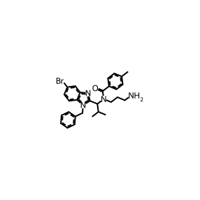 Cc1ccc(C(=O)N(CCCN)C(c2nc3cc(Br)ccc3n2Cc2ccccc2)C(C)C)cc1